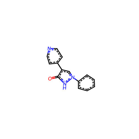 O=c1[nH]n(-c2ccccc2)cc1-c1ccncc1